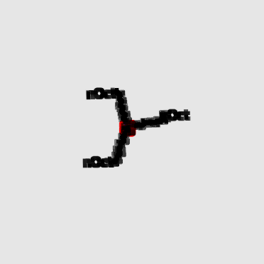 CCCCCCCC/C=C\CCCCCCCCOP(=O)(OCCCCCCCC/C=C\CCCCCCCC)OCCCCCCCC/C=C\CCCCCCCC